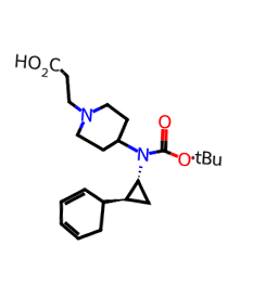 CC(C)(C)OC(=O)N(C1CCN(CCC(=O)O)CC1)[C@@H]1C[C@H]1C1C=CC=CC1